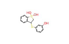 Oc1cccc(SC2CS(O)(O)c3ccccc32)c1